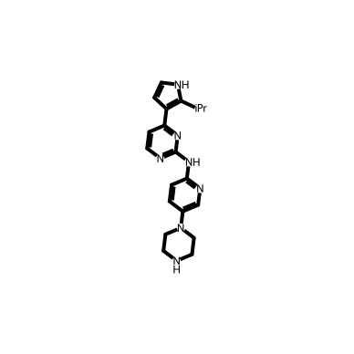 CC(C)c1[nH]ccc1-c1ccnc(Nc2ccc(N3CCNCC3)cn2)n1